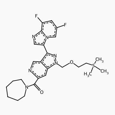 CS(C)(C)CCOCn1nc(-c2cnc3c(F)cc(F)cn23)c2cnc(C(=O)N3CCCCCC3)cc21